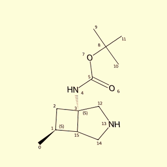 C[C@H]1C[C@@]2(NC(=O)OC(C)(C)C)CNCC12